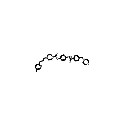 Cc1ccc(CCCN2CCN(C(=O)Oc3ccc(NC(=O)c4ccc(CN5CCOCC5)cc4)nc3)CC2)nc1